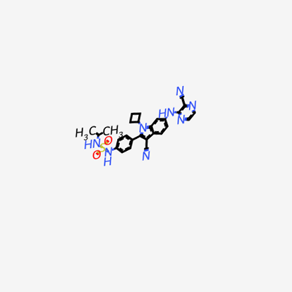 CC(C)NS(=O)(=O)Nc1ccc(-c2c(C#N)c3ccc(Nc4nccnc4C#N)cc3n2C2CCC2)cc1